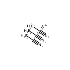 [Al+3].[BH3-]C#N.[BH3-]C#N.[BH3-]C#N